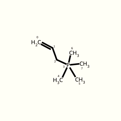 C=CCP(C)(C)(C)C